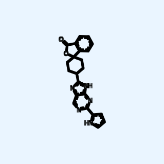 O=C1OC2(CCC(c3nc4cnc(-c5ccc[nH]5)nc4[nH]3)CC2)c2ccccc21